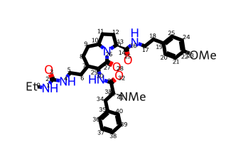 CCNC(=O)NCCC1CCC2CC[C@@H](C(=O)NCCc3ccc(OC)cc3)N2C(=O)C1NC(=O)[C@@H](Cc1ccccc1)NC